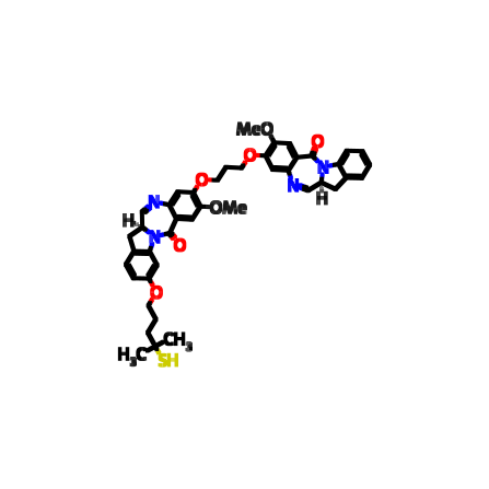 COc1cc2c(cc1OCCCOc1cc3c(cc1OC)C(=O)N1c4cc(OCCCC(C)(C)S)ccc4C[C@H]1C=N3)N=C[C@@H]1Cc3ccccc3N1C2=O